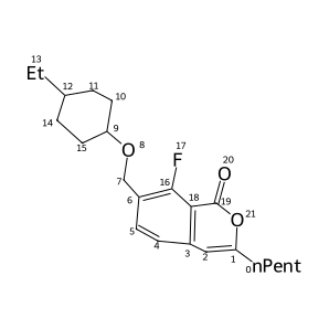 CCCCCc1cc2ccc(COC3CCC(CC)CC3)c(F)c2c(=O)o1